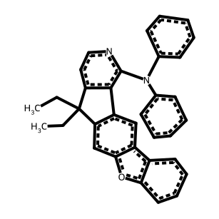 CCC1(CC)c2cc3oc4ccccc4c3cc2-c2c1ccnc2N(c1ccccc1)c1ccccc1